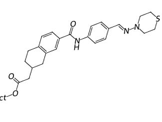 CCCCCCCCOC(=O)CC1CCc2ccc(C(=O)Nc3ccc(/C=N/N4CCSCC4)cc3)cc2C1